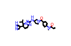 C=CC(=O)N(C)c1ccc(C(=O)N2CCC(Nc3nc4ccc(-c5cn[nH]c5)c(C(C)C)n4n3)C2)cc1